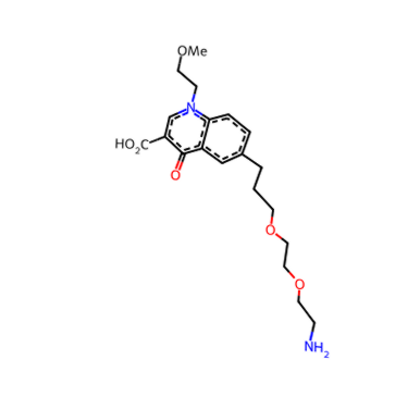 COCCn1cc(C(=O)O)c(=O)c2cc(CCCOCCOCCN)ccc21